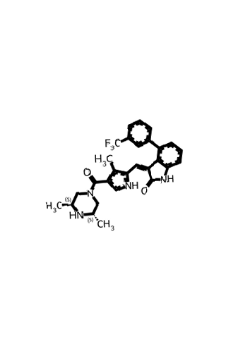 Cc1c(C(=O)N2C[C@H](C)N[C@@H](C)C2)c[nH]c1C=C1C(=O)Nc2cccc(-c3cccc(C(F)(F)F)c3)c21